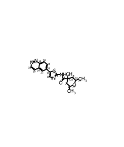 CC1CC(C)(C(=O)Nc2ncc(-c3ccc4nnccc4c3)s2)CC(C)O1